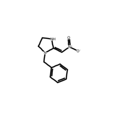 O=[N+]([O-])C=C1NCCN1Cc1ccccc1